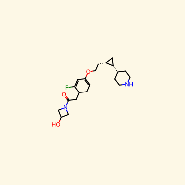 O=C(CC1CC=C(OCC[C@@H]2C[C@@H]2C2CCNCC2)C=C1F)N1CC(O)C1